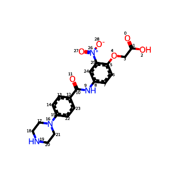 O=C(O)COc1ccc(NC(=O)c2ccc(N3CCNCC3)cc2)cc1[N+](=O)[O-]